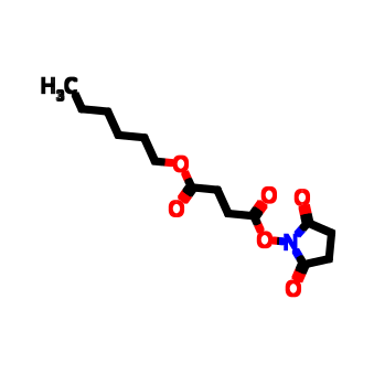 CCCCCCOC(=O)CCC(=O)ON1C(=O)CCC1=O